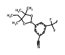 CCC1(C)OB(c2cc(C#N)cc(C(F)(F)F)c2)OC1(C)C